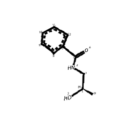 C[C@@H](O)CNC(=O)c1ccccc1